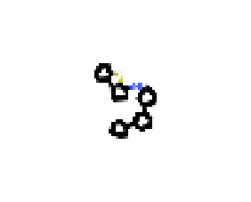 c1ccc(-c2cccc(-c3cccc(Nc4cccc5c4sc4ccccc45)c3)c2)cc1